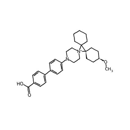 CO[C@H]1CC[C@]2(CC1)C1(CCCCC1)[N+]21CCN(c2ccc(-c3ccc(C(=O)O)cc3)cc2)CC1